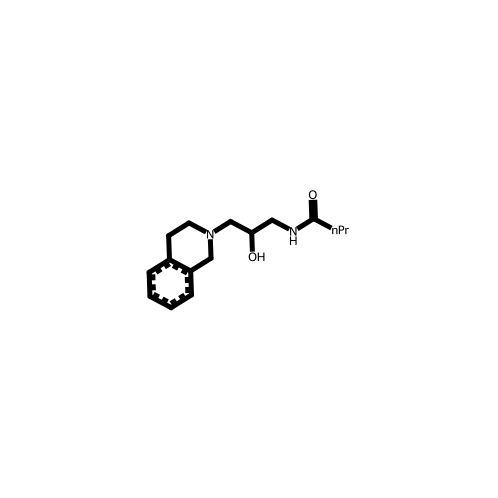 CCCC(=O)NCC(O)CN1CCc2ccccc2C1